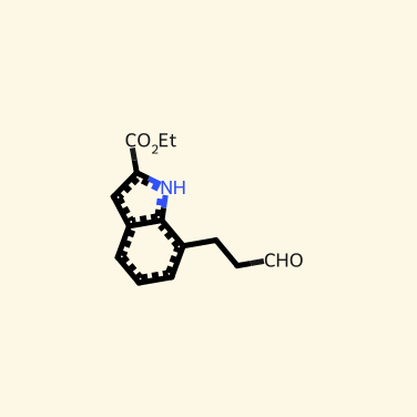 CCOC(=O)c1cc2cccc(CCC=O)c2[nH]1